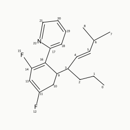 CCCC(C=CC(C)C)C1CC(F)=CC(F)=C1c1ccccn1